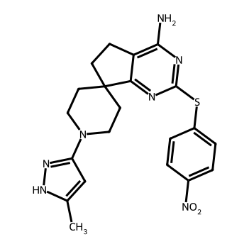 Cc1cc(N2CCC3(CCc4c(N)nc(Sc5ccc([N+](=O)[O-])cc5)nc43)CC2)n[nH]1